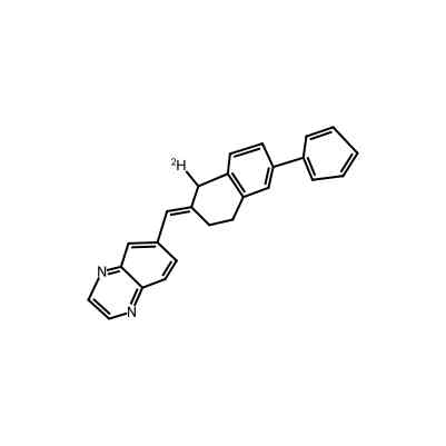 [2H]C1/C(=C/c2ccc3nccnc3c2)CCc2cc(-c3ccccc3)ccc21